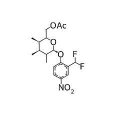 CC(=O)OCC1O[C@@H](Oc2ccc([N+](=O)[O-])cc2C(F)F)C(C)[C@@H](C)[C@H]1C